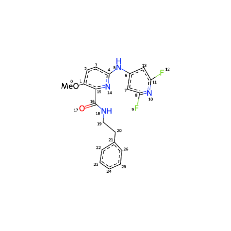 COc1ccc(Nc2cc(F)nc(F)c2)nc1C(=O)NCCc1ccccc1